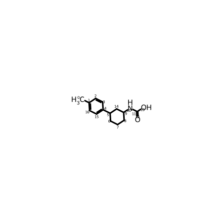 Cc1ccc(C2CCCC(NC(=O)O)C2)cc1